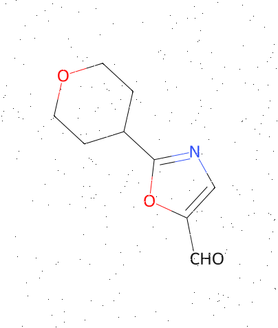 O=Cc1cnc(C2CCOCC2)o1